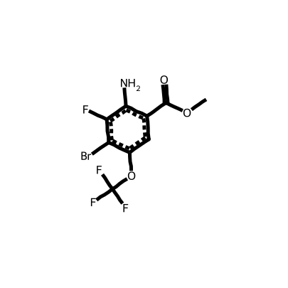 COC(=O)c1cc(OC(F)(F)F)c(Br)c(F)c1N